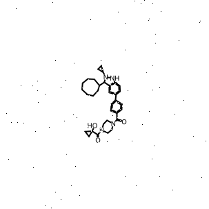 O=C(c1ccc(-c2ccc3c(c2)C(C2CCCCCCC2)N(C2CC2)N3)cc1)N1CCN(C(=O)C2(O)CC2)CC1